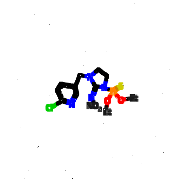 CCOP(=S)(OCC)N1CCN(Cc2ccc(Cl)nc2)C1=N[N+](=O)[O-]